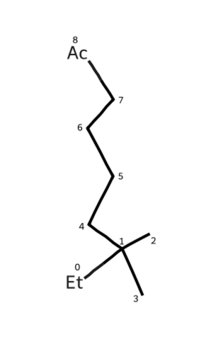 CCC(C)(C)CCCCC(C)=O